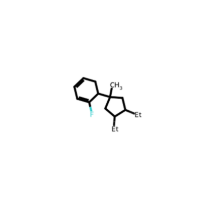 CCC1CC(C)(C2CC=CC=C2F)CC1CC